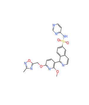 COc1nc(OCc2nc(C)no2)ccc1-c1nccc2cc(S(=O)(=O)Nc3ccncn3)ccc12